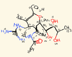 [2H]C1=C(C(=O)O)O[C@@]([2H])([C@](C)(O)[C@H](O)C(C)O)[C@](C)(NC(=O)C(C)C)[C@@]1([2H])NC(=N)N